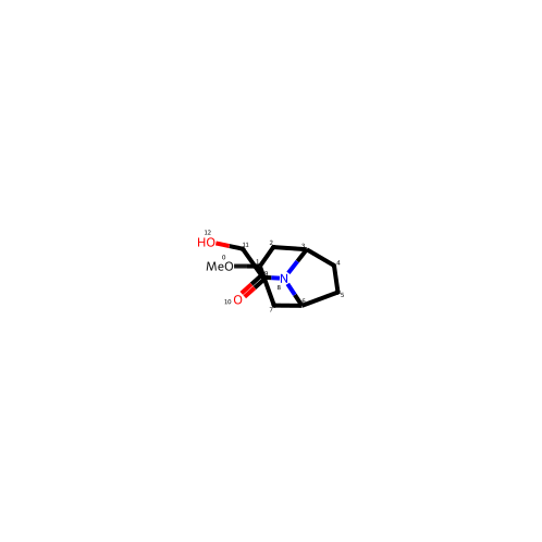 COC1CC2CCC(C1)N2C(=O)CO